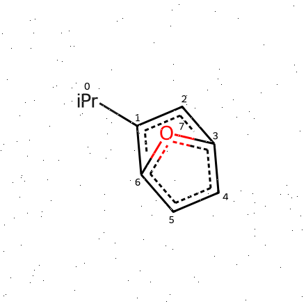 CC(C)c1cc2ccc1o2